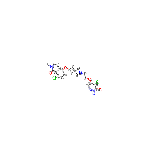 Cn1ccc2c(OC3CC4(C3)CN(CCOc3cn[nH]c(=O)c3Cl)C4)ccc(Cl)c2c1=O